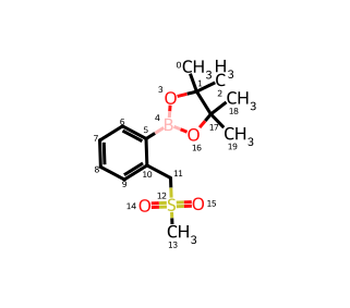 CC1(C)OB(c2ccccc2CS(C)(=O)=O)OC1(C)C